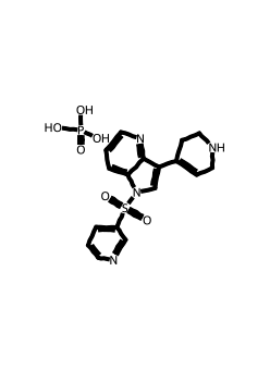 O=P(O)(O)O.O=S(=O)(c1cccnc1)n1cc(C2=CCNCC2)c2ncccc21